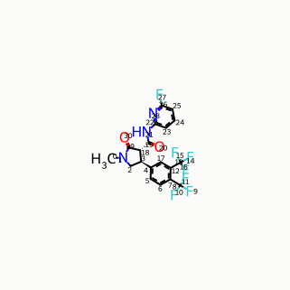 CN1C[C@H](c2ccc(C(F)(F)F)c(C(F)(F)F)c2)[C@@H](C(=O)Nc2cccc(F)n2)C1=O